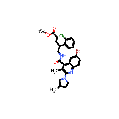 Cc1c(N2CCC(C)C2)nc2ccc(Br)cc2c1C(=O)NCC(CCC(=O)OC(C)(C)C)c1ccccc1Cl